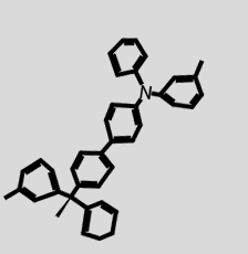 Cc1cccc(N(c2ccccc2)c2ccc(-c3ccc([C@](C)(C4=CCCC=C4)c4cccc(C)c4)cc3)cc2)c1